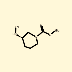 CC(C)(C)OC(=O)N1CCC[C@@H](NC#N)C1